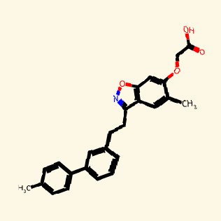 Cc1ccc(-c2cccc(CCc3noc4cc(OCC(=O)O)c(C)cc34)c2)cc1